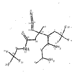 CC(N)CC(N)C(CC(F)(F)F)C(C)(CC(=O)NCC(F)(F)F)N=[N+]=[N-]